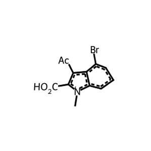 CC(=O)c1c(C(=O)O)n(C)c2cccc(Br)c12